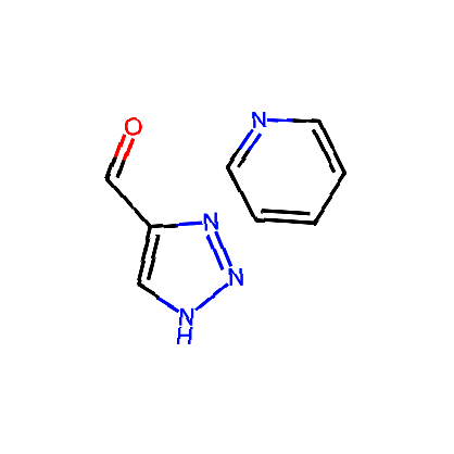 O=Cc1c[nH]nn1.c1ccncc1